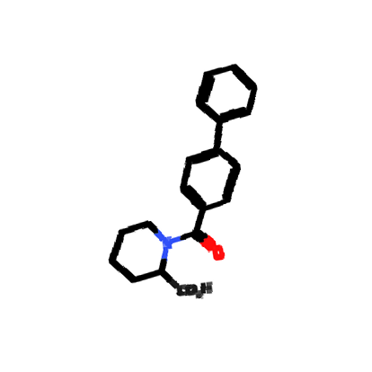 O=C(O)C1CCCCN1C(=O)c1ccc(-c2ccccc2)cc1